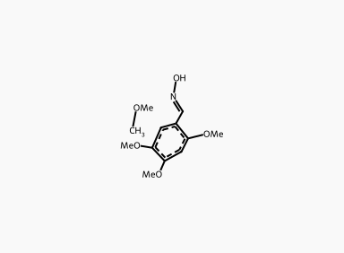 COC.COc1cc(OC)c(OC)cc1C=NO